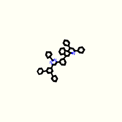 C1=CC(c2cc(-c3ccccc3)cc(-c3cc(-c4cccc(-c5cc6nc(-c7ccccc7)cc(-c7ccccc7)c6c6ccccc56)c4)nc(-c4ccccc4)n3)c2)=CCC1